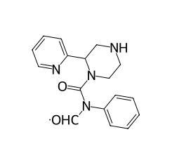 O=[C]N(C(=O)N1CCNCC1c1ccccn1)c1ccccc1